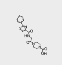 O=C(NCC(=O)N1CCN(C(=O)O)CC1)c1csc(-c2ccccc2)n1